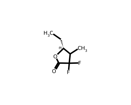 CC[C@H]1OC(=O)C(F)(F)C1C